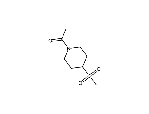 CC(=O)N1CCC(S(C)(=O)=O)CC1